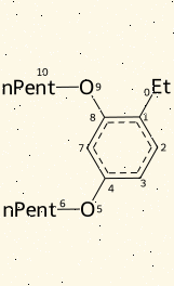 [CH2]Cc1ccc(OCCCCC)cc1OCCCCC